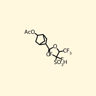 CC(=O)OC1CC2CC1CC2C(=O)OC(C(F)(F)F)C(F)(F)S(=O)(=O)O